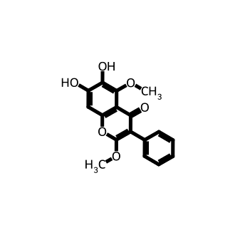 COc1oc2cc(O)c(O)c(OC)c2c(=O)c1-c1ccccc1